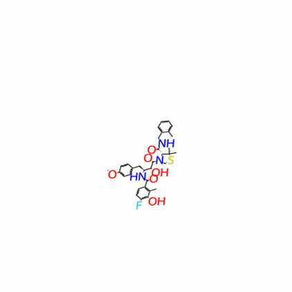 COc1ccc(C[C@H](NC(=O)c2ccc(F)c(O)c2C)[C@H](O)C(=O)N2CSC(C)(C)[C@H]2C(=O)NCc2ccccc2C)cc1